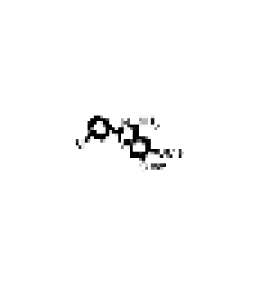 COc1cc2nc(-c3cccc(Cl)c3)nc(N)c2cc1OC